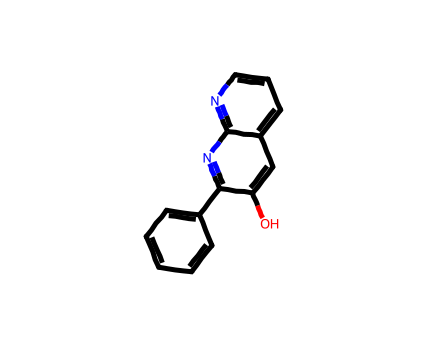 Oc1cc2cccnc2nc1-c1ccccc1